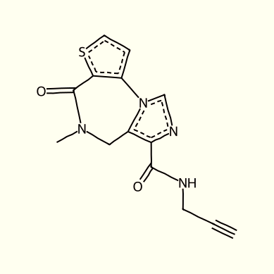 C#CCNC(=O)c1ncn2c1CN(C)C(=O)c1sccc1-2